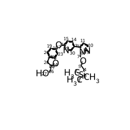 C[Si](C)(C)CCOCn1nccc1-c1ccc(Oc2ccc3c(c2)O[C@@H](CO)C3)nc1